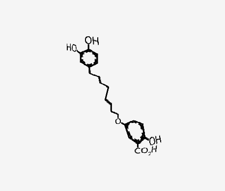 O=C(O)c1cc(OCCCCCCCCc2ccc(O)c(O)c2)ccc1O